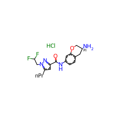 CCCc1cc(C(=O)Nc2ccc3c(c2)OC[C@H](N)C3)nn1CC(F)F.Cl